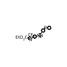 CCOC(=O)c1cnn(-c2ccc(-n3cc(-c4ccc(Oc5ccccc5)cc4)nn3)cc2)c1C(F)(F)F